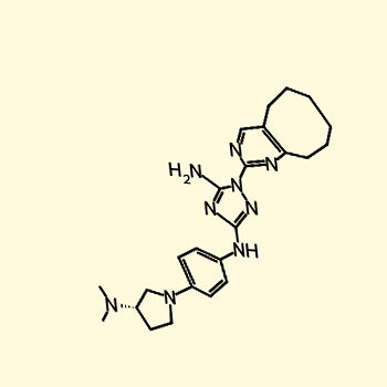 CN(C)[C@H]1CCN(c2ccc(Nc3nc(N)n(-c4ncc5c(n4)CCCCCC5)n3)cc2)C1